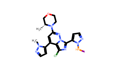 C[C@@H]1COCCN1c1cc(-c2ccnn2C)c2c(Cl)nc(-c3ccnn3PI)n2n1